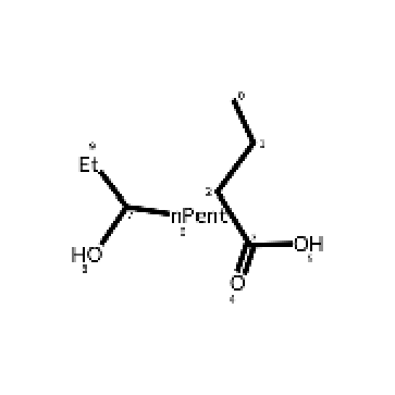 CCCC(=O)O.CCCCCC(O)CC